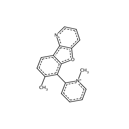 Cc1ccc2c(oc3cccnc32)c1-c1cccc[n+]1C